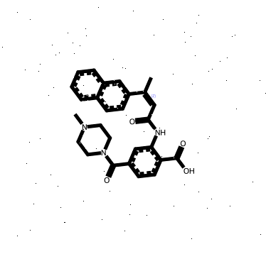 C/C(=C/C(=O)Nc1cc(C(=O)N2CCN(C)CC2)ccc1C(=O)O)c1ccc2ccccc2c1